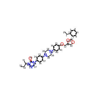 CCc1ccccc1[C@@H]1OC[C@@H](COc2ccc(N3CCN(c4ccc(-n5cnn(C(C)CC)c5=O)cc4)CC3)cc2)O1